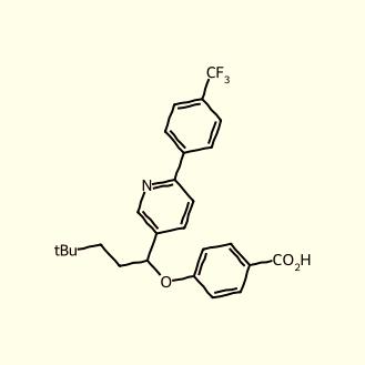 CC(C)(C)CCC(Oc1ccc(C(=O)O)cc1)c1ccc(-c2ccc(C(F)(F)F)cc2)nc1